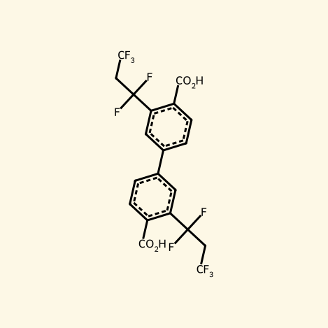 O=C(O)c1ccc(-c2ccc(C(=O)O)c(C(F)(F)CC(F)(F)F)c2)cc1C(F)(F)CC(F)(F)F